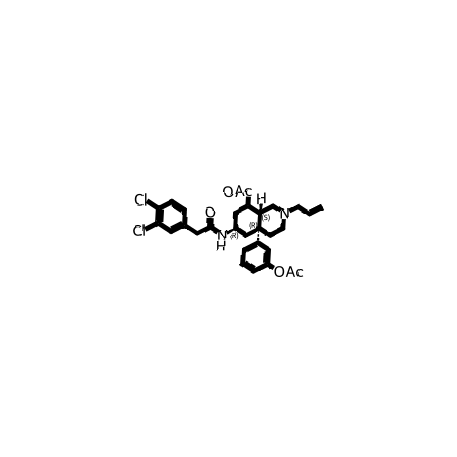 C=CCN1CC[C@@]2(c3cccc(OC(C)=O)c3)C[C@@H](NC(=O)Cc3ccc(Cl)c(Cl)c3)CC(OC(C)=O)[C@@H]2C1